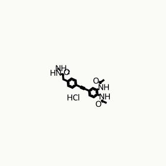 CC(=O)Nc1ccc(C#Cc2ccc(CC(=O)NN)cc2)cc1NC(C)=O.Cl